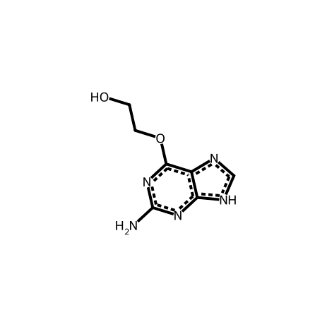 Nc1nc(OCCO)c2nc[nH]c2n1